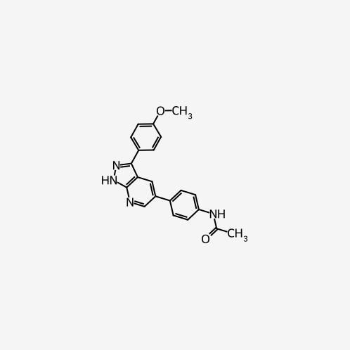 COc1ccc(-c2n[nH]c3ncc(-c4ccc(NC(C)=O)cc4)cc23)cc1